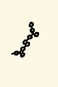 Cc1ccc(-n2c3ccccc3c3cc(-c4cccc5c(-c6ccc(N(c7ccccc7)c7ccc(-c8ccccc8)cc7)cc6)cccc45)ccc32)cc1